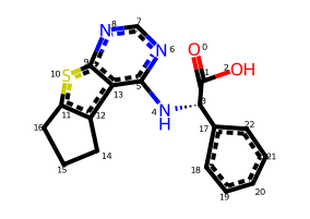 O=C(O)[C@@H](Nc1ncnc2sc3c(c12)CCC3)c1ccccc1